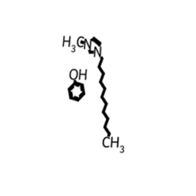 CCCCCCCCCCCCN1C=CN(C)C1.Oc1ccccc1